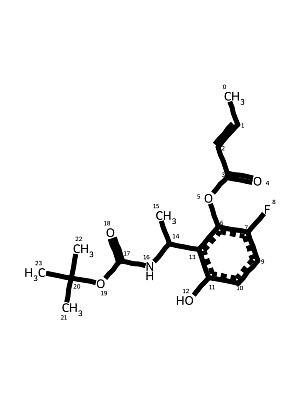 CC=CC(=O)Oc1c(F)ccc(O)c1C(C)NC(=O)OC(C)(C)C